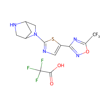 FC(F)(F)c1nc(-c2cnc(N3CC4CC3CN4)s2)no1.O=C(O)C(F)(F)F